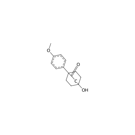 COc1ccc(C23CCC(O)(CC2)CC3=O)cc1